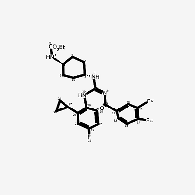 CCOC(=O)N[C@H]1CC[C@H](N/C(=N/C(=O)c2ccc(F)c(F)c2)Nc2ccc(F)cc2C2CC2)CC1